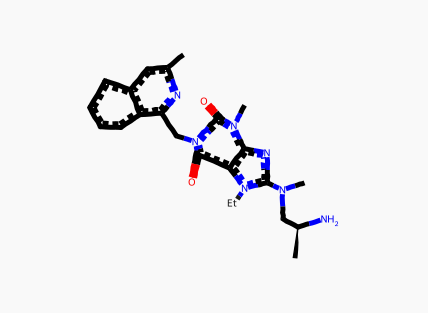 CCn1c(N(C)C[C@H](C)N)nc2c1c(=O)n(Cc1nc(C)cc3ccccc13)c(=O)n2C